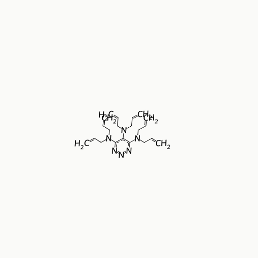 C=CCN(CC=C)c1nnnc(N(CC=C)CC=C)c1N(CC=C)CC=C